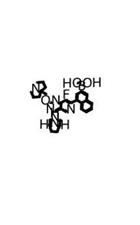 OB(O)c1cc(-c2ncc3c(N4C[C@H]5CC[C@@H](C4)N5)nc(OCC45CCCN4CCC5)nc3c2F)c2ccccc2c1